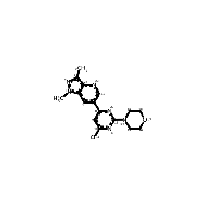 Cc1nn(C)c2cc(-c3cc(Cl)nc(N4CCOCC4)n3)cnc12